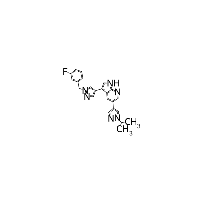 CC(C)n1cc(-c2cnc3[nH]cc(-c4cnn(Cc5cccc(F)c5)c4)c3c2)cn1